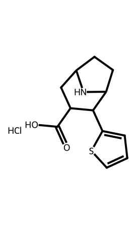 Cl.O=C(O)C1CC2CCC(N2)C1c1cccs1